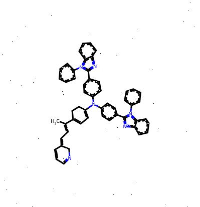 C/C(=C\C=C1\C=CC=NC1)C1=CC=C(N(c2ccc(-c3nc4ccccc4n3-c3ccccc3)cc2)c2ccc(-c3nc4ccccc4n3-c3ccccc3)cc2)CC1